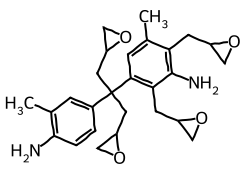 Cc1cc(C(CC2CO2)(CC2CO2)c2cc(C)c(CC3CO3)c(N)c2CC2CO2)ccc1N